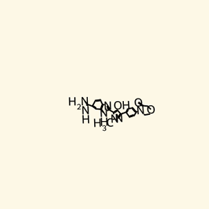 Cn1nc(-c2ccc(N3CCOCC3=O)cc2)c(O)c1-c1nc2ccc(C(=N)N)cc2[nH]1